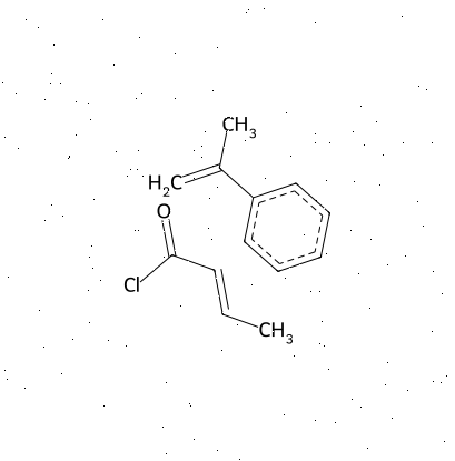 C=C(C)c1ccccc1.CC=CC(=O)Cl